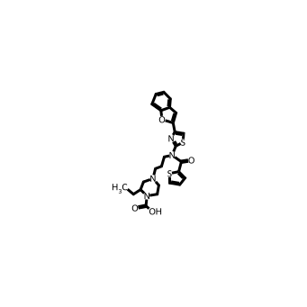 CCC1CN(CCCN(C(=O)c2cccs2)c2nc(-c3cc4ccccc4o3)cs2)CCN1C(=O)O